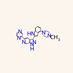 CN1CCN(c2cccc3[nH]c(-c4n[nH]c5cnc(-c6cnccn6)cc45)cc23)CC1